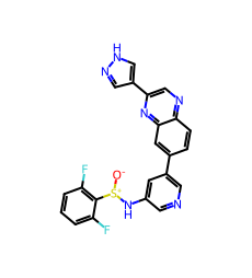 [O-][S+](Nc1cncc(-c2ccc3ncc(-c4cn[nH]c4)nc3c2)c1)c1c(F)cccc1F